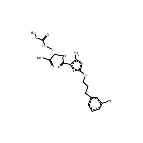 COC(=O)[C@H](CNC(=O)OC(C)(C)C)NC(=O)c1sc(OCCCc2cccc(O)c2)nc1C